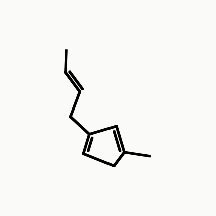 CC=CCC1=CCC(C)=C1